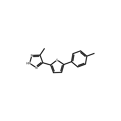 Cc1ccc(-c2ccc(-c3n[nH]nc3C)s2)cc1